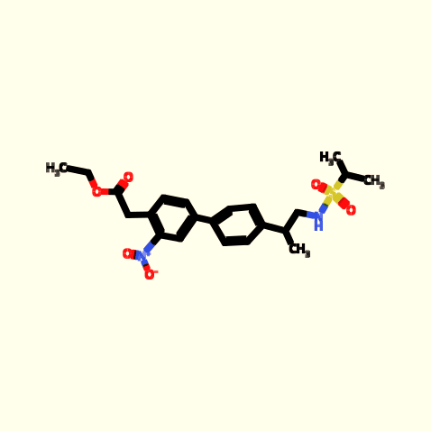 CCOC(=O)Cc1ccc(-c2ccc(C(C)CNS(=O)(=O)C(C)C)cc2)cc1[N+](=O)[O-]